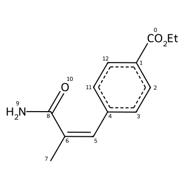 CCOC(=O)c1ccc(C=C(C)C(N)=O)cc1